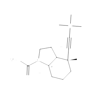 COC(=O)N1CC[C@@H]2[C@H]1CCC[C@@]2(O)C#C[Si](C)(C)C